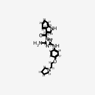 Nc1nc(Nc2ccc(OCCN3CCCC3)cc2)nn1C(=O)c1c[nH]c2ccccc12